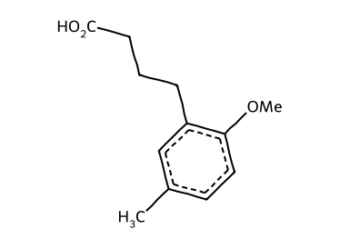 COc1ccc(C)cc1CCCC(=O)O